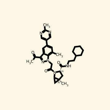 CC(=O)c1nn(CC(=O)N2C3C[C@]3(C)C[C@H]2C(=O)NCCC2CCCCC2)c2c(C)cc(-c3cnc(C)nc3)cc12